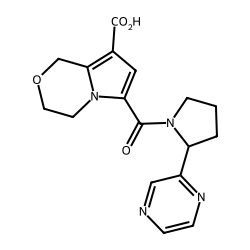 O=C(O)c1cc(C(=O)N2CCCC2c2cnccn2)n2c1COCC2